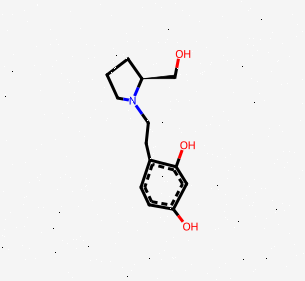 OC[C@@H]1CCCN1CCc1ccc(O)cc1O